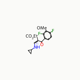 CCOC(=O)/C(=C/NC1CC1)C(=O)c1ccc(F)c(OC)c1F